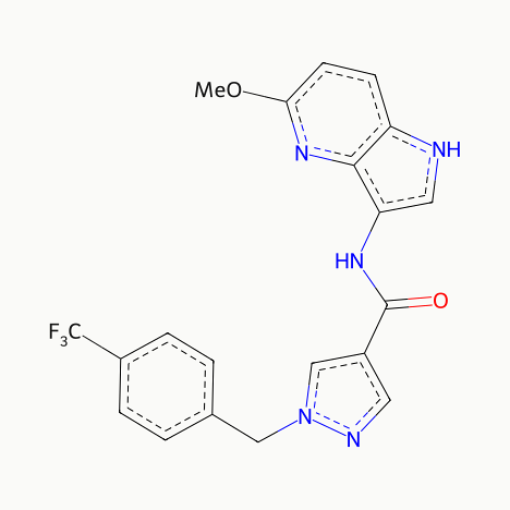 COc1ccc2[nH]cc(NC(=O)c3cnn(Cc4ccc(C(F)(F)F)cc4)c3)c2n1